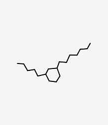 CCCCCCCC1CCCC(CCCCC)C1